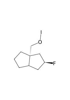 F[C@H]1CC2CCC[C@@]2(COI)C1